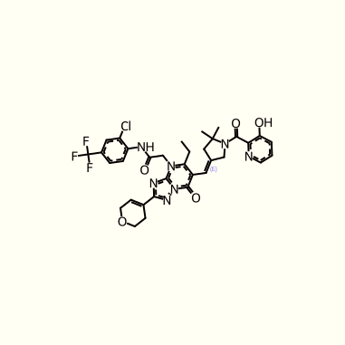 CCc1c(/C=C2/CN(C(=O)c3ncccc3O)C(C)(C)C2)c(=O)n2nc(C3=CCOCC3)nc2n1CC(=O)Nc1ccc(C(F)(F)F)cc1Cl